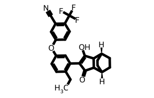 CCc1ccc(Oc2ccc(C(F)(F)F)c(C#N)c2)cc1C1=C(O)C2C(C1=O)[C@H]1CC[C@@H]2CC1